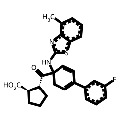 Cc1cccc2sc(NC3(C(=O)[C@@H]4CCC[C@H]4C(=O)O)C=CC(c4cccc(F)c4)=CC3)nc12